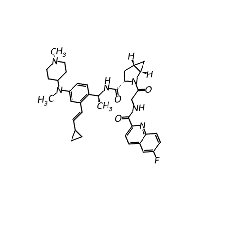 C[C@H](NC(=O)[C@@H]1C[C@@H]2C[C@@H]2N1C(=O)CNC(=O)c1ccc2cc(F)ccc2n1)c1ccc(N(C)C2CCN(C)CC2)cc1/C=C/C1CC1